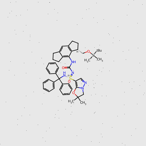 CC1(C)Cn2ncc([S@@](=O)(=NC(=O)Nc3c4c(cc5c3[C@@H](CO[Si](C)(C)C(C)(C)C)CC5)CCC4)NC(c3ccccc3)(c3ccccc3)c3ccccc3)c2O1